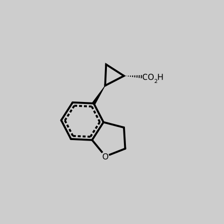 O=C(O)[C@H]1C[C@@H]1c1cccc2c1CCO2